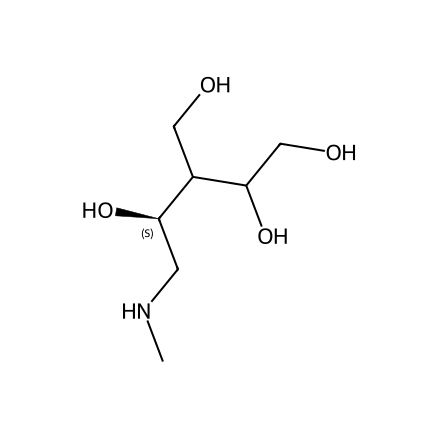 CNC[C@@H](O)C(CO)C(O)CO